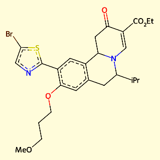 CCOC(=O)C1=CN2C(CC1=O)c1cc(-c3ncc(Br)s3)c(OCCCOC)cc1CC2C(C)C